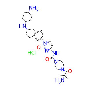 CC(C)(N)C(=O)N1CCN(C(=O)Nc2ccn(-c3ccc4c(c3)CCC(N[C@H]3CC[C@@H](N)CC3)C4)c(=O)n2)CC1.Cl